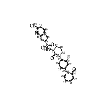 O=C1C(NS(=O)(=O)c2cc3ccc(Cl)nc3s2)CCCN1c1ccc(-n2ccccc2=O)cc1F